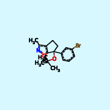 Cc1noc2c1CCC2(O[Si](C)(C)C)c1cccc(Br)c1